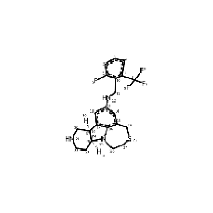 Fc1cccc(C(F)(F)F)c1CNc1cc2c3c(c1)[C@@H]1CNCC[C@@H]1N3CCSC2